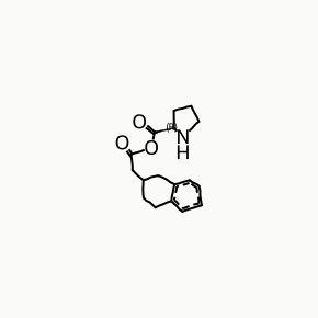 O=C(CC1CCc2ccccc2C1)OC(=O)[C@H]1CCCN1